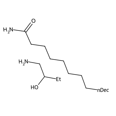 CCC(O)CN.CCCCCCCCCCCCCCCCCC(N)=O